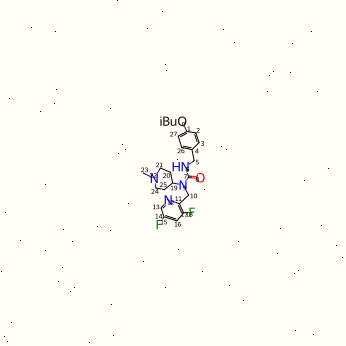 CC(C)COc1ccc(CNC(=O)N(Cc2ncc(F)cc2F)C2CCN(C)CC2)cc1